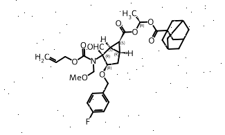 C=CCOC(=O)N(COC)[C@]1(C=O)[C@H]2[C@@H](C[C@H]1OCc1ccc(F)cc1)[C@@H]2C(=O)O[C@@H](C)OC(=O)C12CC3CC(CC(C3)C1)C2